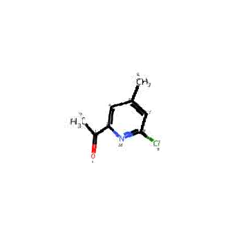 CC(=O)c1cc(C)cc(Cl)n1